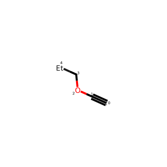 [C]#COCCC